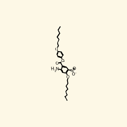 CCCCCCCCOc1cc(N)c(C(=O)Oc2ccc(OCCCCCCC)cc2)cc1[N+](=O)[O-]